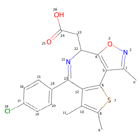 Cc1noc2c1-c1sc(C)c(C)c1C(c1ccc(Cl)cc1)=NC2CC(=O)O